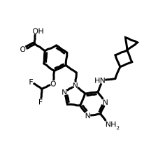 Nc1nc(NCC2CC3(CC3)C2)c2c(cnn2Cc2ccc(C(=O)O)cc2OC(F)F)n1